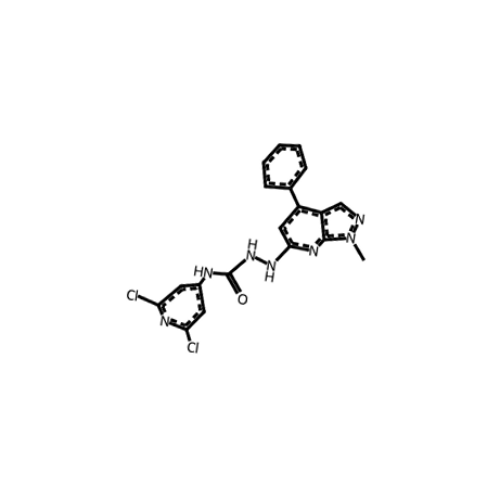 Cn1ncc2c(-c3ccccc3)cc(NNC(=O)Nc3cc(Cl)nc(Cl)c3)nc21